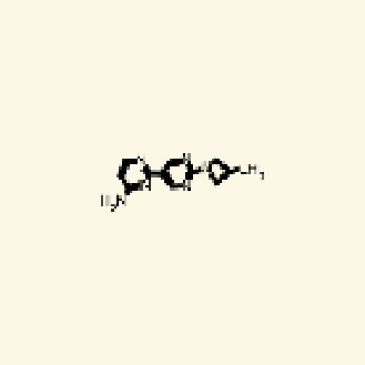 CC1CN(c2ncc(-c3nccc(N)n3)cn2)C1